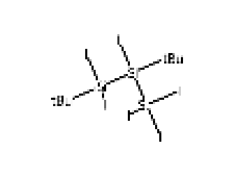 CC(C)(C)[Si](I)(I)[Si](I)(C(C)(C)C)[Si](I)(I)I